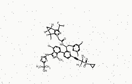 Cn1nc(Nc2nnc(C(C)(C)O)o2)c2c(Cl)ccc(-c3ccc(C#CC(C)(C)S(=O)(=O)C4CC4)nc3[C@H](Cc3cc(F)cc(F)c3)NC(=O)Cn3nc(C(F)F)c4c3C(F)(F)[C@@H]3C[C@H]43)c21